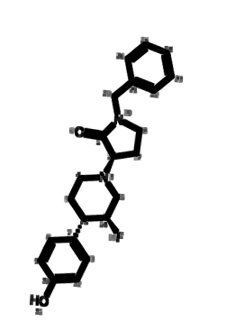 O=C1[C@H](N2CC[C@@H](c3ccc(O)cc3)[C@H](F)C2)CCN1Cc1ccccc1